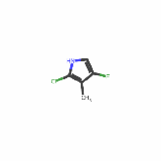 Cc1c(F)c[nH]c1Cl